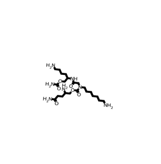 NCCCCCCCN(CC(=O)NC(CCCCN)COC(N)=O)C(=O)OCC(N)CCC(N)=O